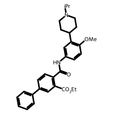 CCOC(=O)c1cc(-c2ccccc2)ccc1C(=O)Nc1ccc(OC)c(C2CCN(C(C)C)CC2)c1